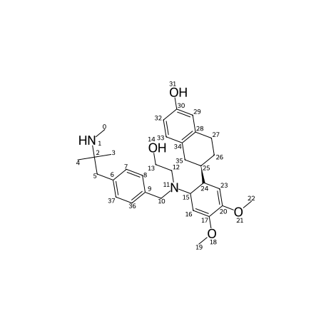 CNC(C)(C)Cc1ccc(CN(CCO)C2C=C(OC)C(OC)=CC2[C@@H]2CCc3cc(O)ccc3C2)cc1